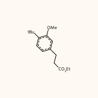 CCOC(=O)CCc1ccc(C(C)(C)C)c(OC)c1